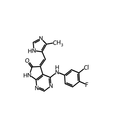 Cc1nc[nH]c1C=C1C(=O)Nc2ncnc(Nc3ccc(F)c(Cl)c3)c21